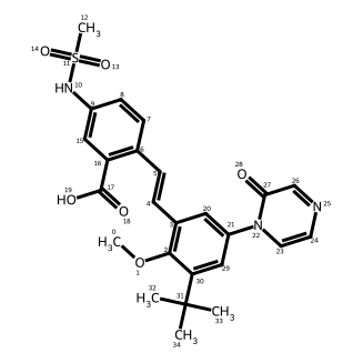 COc1c(/C=C/c2ccc(NS(C)(=O)=O)cc2C(=O)O)cc(-n2ccncc2=O)cc1C(C)(C)C